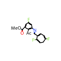 COC(=O)c1cc(F)cc(/N=C/C2=CC=C(F)CC=C2F)c1C(C)=O